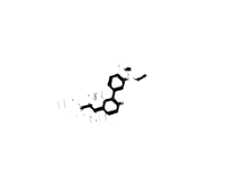 Cc1ccc2c(N)c(C(N)=O)nnc2c1-c1ccc2ncn(CCO)c2c1